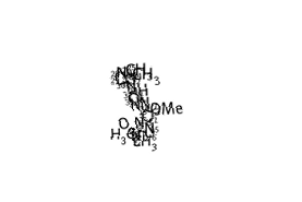 COc1cc(N2CCCC2CN(C)C)c([N+](=O)[O-])cc1Nc1cc(N2CC(C)(C)c3ncccc32)ccn1